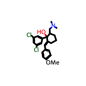 COc1ccc(/C=C2\CCCC(CN(C)C)C2(O)c2cc(Cl)cc(Cl)c2)cc1